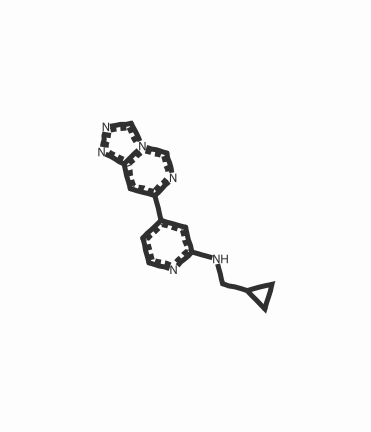 c1cc(-c2cc3nncn3cn2)cc(NCC2CC2)n1